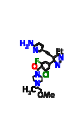 CCc1ncnc(-c2cc(F)c(C(=O)N3CCN(C(C)COC)CC3)c(Cl)c2)c1C#Cc1ccc(N)nc1